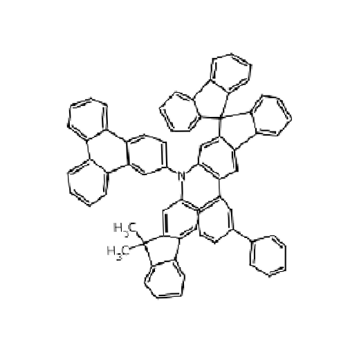 CC1(C)c2ccccc2-c2ccc(N(c3ccc4c5ccccc5c5ccccc5c4c3)c3cc4c(cc3-c3cccc(-c5ccccc5)c3)-c3ccccc3C43c4ccccc4-c4ccccc43)cc21